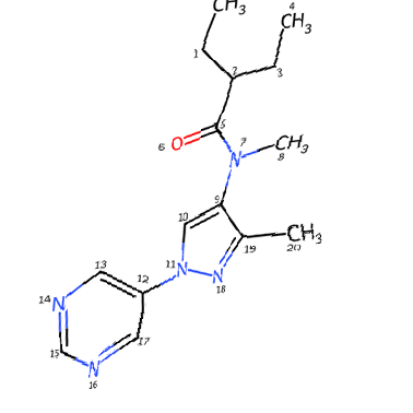 CCC(CC)C(=O)N(C)c1cn(-c2cncnc2)nc1C